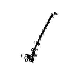 CCN(C(=O)Cn1c(C(=O)N[C@H]2CC[C@H](C(=O)NCCCCCC(=O)NCCOCCOCCOCCOCCOCCOCCOCCOCCC(=O)OC(C)(C)C)CC2)cc2sccc21)c1cccc(C)c1